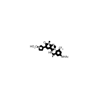 CC(=O)Nc1cc([C@@H](C)Nc2ncnc3c2cc(C2CCN(C(=O)O)C2)c(=O)n3C)cc(C(F)(F)F)c1